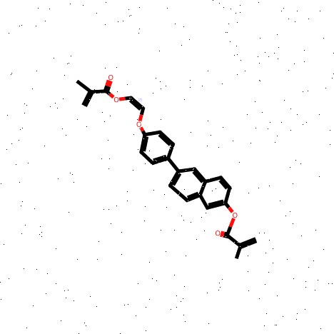 C=C(C)C(=O)O/C=C\Oc1ccc(-c2ccc3cc(OC(=O)C(=C)C)ccc3c2)cc1